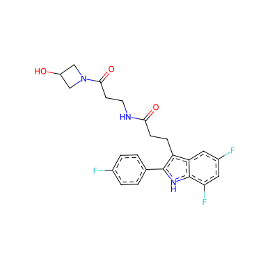 O=C(CCc1c(-c2ccc(F)cc2)[nH]c2c(F)cc(F)cc12)NCCC(=O)N1CC(O)C1